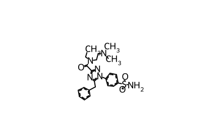 CCN(CCN(C)C)C(=O)c1nc(Cc2ccccc2)n(-c2ccc(S(N)(=O)=O)cc2)n1